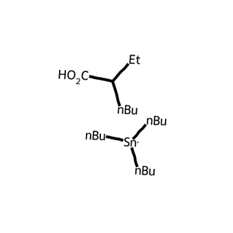 CCCCC(CC)C(=O)O.CCC[CH2][Sn]([CH2]CCC)[CH2]CCC